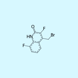 O=c1[nH]c2c(F)cccc2c(CBr)c1F